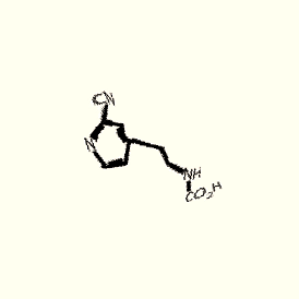 N#Cc1cc(CCNC(=O)O)ccn1